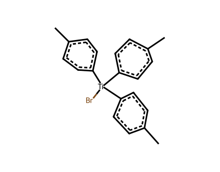 Cc1cc[c]([Ti]([Br])([c]2ccc(C)cc2)[c]2ccc(C)cc2)cc1